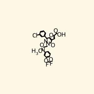 CN(C(=O)Cn1nc(-c2cccc(Cl)c2)c2oc(C(=O)O)cc2c1=O)c1ccc2c(c1)OC(F)(F)O2